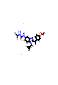 CCOc1ccc(C(C)c2nc3cc(N(C)C(=O)NC(C)C)ccc3n2CC2CC2)cc1